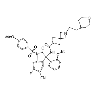 CCOc1ncccc1C1(NC(=O)N2CC3(CN(CCN4CCOCC4)C3)C2)C(=O)N(S(=O)(=O)c2ccc(OC)cc2)c2cc(F)c(C#N)cc21